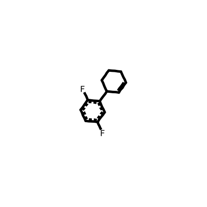 Fc1ccc(F)c(C2C=CCCC2)c1